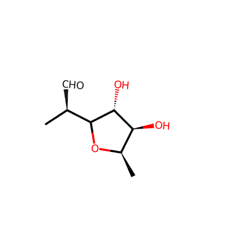 C[C@@H](C=O)C1O[C@H](C)[C@H](O)[C@H]1O